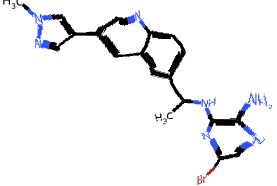 CC(Nc1nc(Br)cnc1N)c1ccc2ncc(-c3cnn(C)c3)cc2c1